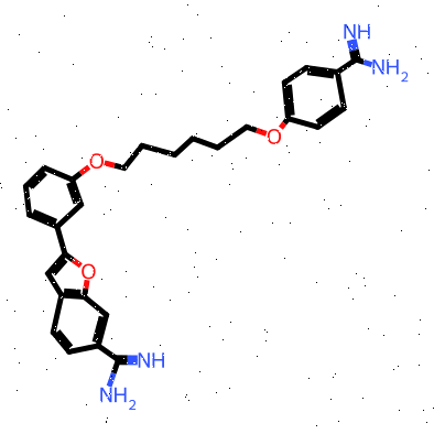 N=C(N)c1ccc(OCCCCCCOc2cccc(-c3cc4ccc(C(=N)N)cc4o3)c2)cc1